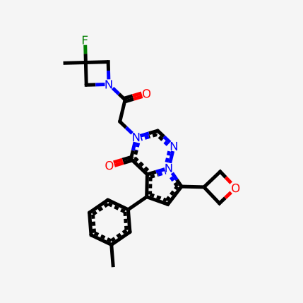 Cc1cccc(-c2cc(C3COC3)n3ncn(CC(=O)N4CC(C)(F)C4)c(=O)c23)c1